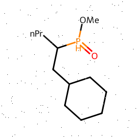 CCCC(CC1CCCCC1)[PH](=O)OC